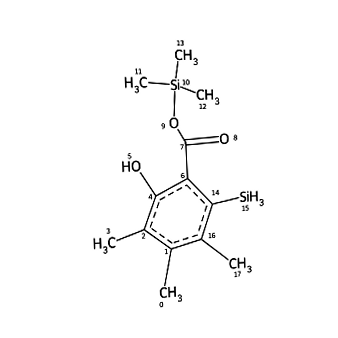 Cc1c(C)c(O)c(C(=O)O[Si](C)(C)C)c([SiH3])c1C